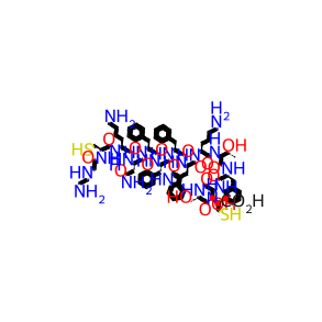 C[C@@H](O)[C@H](NC(=O)[C@H](Cc1ccccc1)NC(=O)[C@@H](NC(=O)[C@H](CCCCN)NC(=O)[C@@H](Cc1c[nH]c2ccccc12)NC(=O)[C@H](Cc1ccccc1)NC(=O)[C@H](Cc1ccccc1)NC(=O)[C@H](Cc1ccccc1)NC(=O)[C@H](CC(N)=O)NC(=O)[C@H](CCCCN)NC(=O)[C@H](CS)NC(=O)CNCCN)[C@@H](C)O)C(=O)N[C@@H](CO)C(=O)N[C@@H](CS)C(=O)O